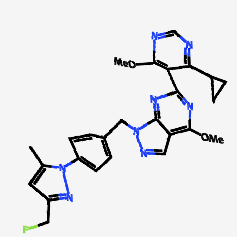 COc1ncnc(C2CC2)c1-c1nc(OC)c2cnn(Cc3ccc(-n4nc(CF)cc4C)cc3)c2n1